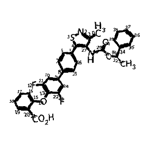 Cc1nsc(-c2ccc(-c3cc(F)c(Oc4ccccc4C(=O)O)c(F)c3)cc2)c1NC(=O)O[C@H](C)c1ccccc1